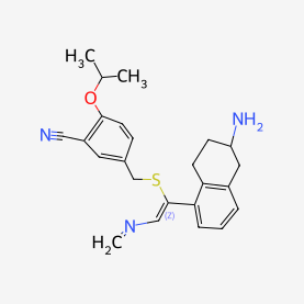 C=N/C=C(\SCc1ccc(OC(C)C)c(C#N)c1)c1cccc2c1CCC(N)C2